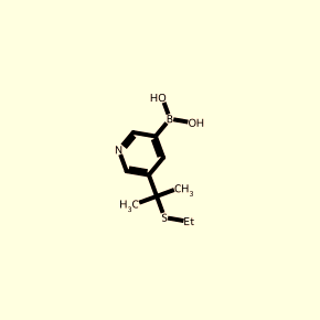 CCSC(C)(C)c1cncc(B(O)O)c1